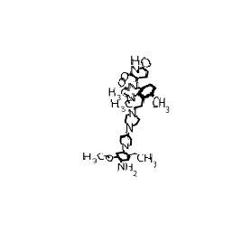 CCOc1cc(N2CCC(N3CCN(CCc4c(C)ccc(N(C=O)C5CCC(=O)NC5=O)c4N(C)C)CC3)CC2)c(CC)cc1N